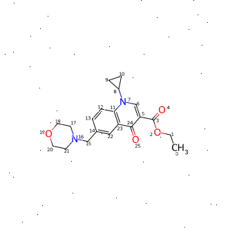 CCOC(=O)c1cn(C2CC2)c2ccc(CN3CCOCC3)cc2c1=O